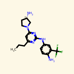 CCCc1cc(N2CC[C@H](N)C2)nc(Nc2ccc(N)c(C(F)(F)F)c2)n1